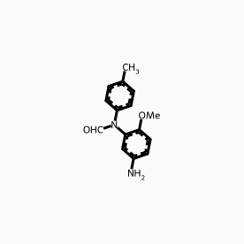 COc1ccc(N)cc1N(C=O)c1ccc(C)cc1